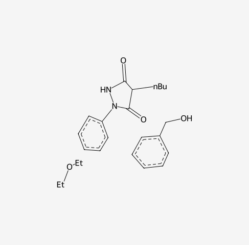 CCCCC1C(=O)NN(c2ccccc2)C1=O.CCOCC.OCc1ccccc1